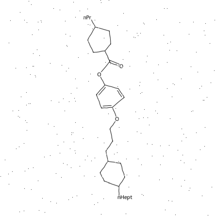 CCCCCCCC1CCC(CCCOc2ccc(OC(=O)C3CCC(CCC)CC3)cc2)CC1